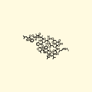 CC(C)C[C@H](NC(=O)[C@@H]1CCCN1C(=O)[C@@H](NC(=O)[C@@H]1CCCN1C(=O)[C@H](CCC(=O)O)NC(=O)[C@H](C)NC(=O)[C@H](C)NC(=O)[C@@H]1CCCN1C(=O)[C@@H](N)CC(C)C)C(C)C)C(=O)N[C@H](C(=O)N[C@@H](CCCCN)C(=O)N[C@@H](CCC(N)=O)C(=O)N[C@@H](CC(=O)O)C(=O)O)C(C)C